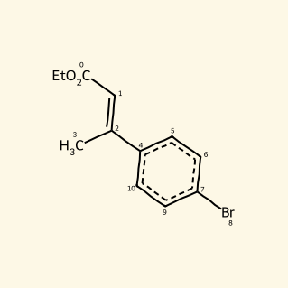 CCOC(=O)/C=C(\C)c1ccc(Br)cc1